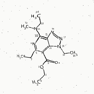 CCOC(=O)c1c(CC)nc(N(C)CC)c2nnn(CC)c12